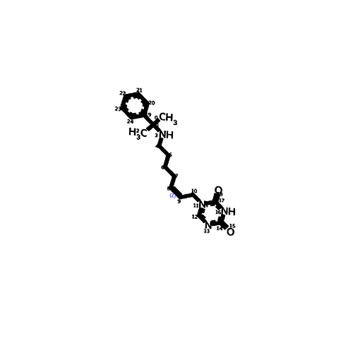 CC(C)(NCCCC/C=C\Cn1cnc(=O)[nH]c1=O)c1ccccc1